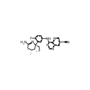 C[C@@H]1SC(N)=N[C@](CF)(c2cc(Nc3ncnc4cc(C#N)cnc34)ccc2F)[C@@H]1C